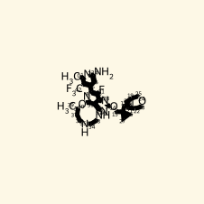 Cc1nc(N)cc(-c2nc3c4c(nc(OCC5(CN6C7CCC6COC7)CC5)nc4c2F)NCCNCC[C@H](C)O3)c1C(F)(F)F